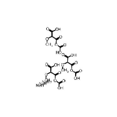 COC(C(=O)O)C(=O)OC(=O)O.COC(C(=O)O)C(=O)OC(=O)O.COC(C(=O)O)C(=O)OC(=O)O.[NaH].[NaH].[NaH]